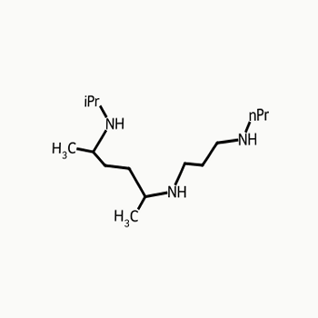 CCCNCCCNC(C)CCC(C)NC(C)C